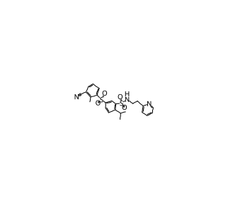 Cc1c(C#N)cccc1S(=O)(=O)c1ccc(C(C)C)c(S(=O)(=O)NCCc2ccccn2)c1